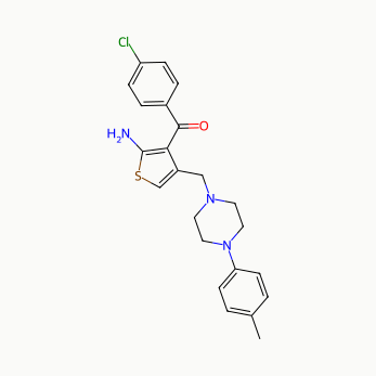 Cc1ccc(N2CCN(Cc3csc(N)c3C(=O)c3ccc(Cl)cc3)CC2)cc1